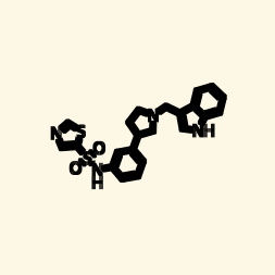 O=S(=O)(Nc1cccc(C2CCN(Cc3c[nH]c4ccccc34)C2)c1)c1cncs1